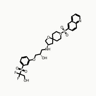 O=S(=O)(c1ccc2ncccc2c1)N1CCC2(CC1)C[C@@H](NC[C@H](O)COc1cccc(S(=O)(=O)C(F)(F)CO)c1)CO2